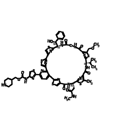 CNC(=O)C[C@@H]1NC(=O)c2csc(n2)-c2ccc(-c3nc(NC(=O)OCC4CCNCC4)cs3)nc2-c2csc(n2)-c2csc(n2)[C@H]([C@@H](O)c2ccccc2)NC(=O)CNC(=O)c2nc(sc2COC)[C@H](C(C)C)NC(=O)c2nc1sc2C